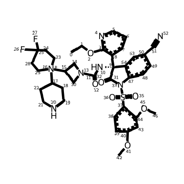 CCOc1ncccc1[C@]1(NC(=O)N2CC([N+]3(C4CCNCC4)CCC(F)(F)CC3)C2)C(=O)N(S(=O)(=O)c2ccc(OC)cc2OC)c2ccc(C#N)cc21